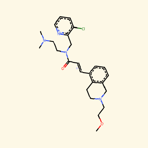 COCCN1CCc2c(/C=C/C(=O)N(CCN(C)C)Cc3ncccc3Cl)cccc2C1